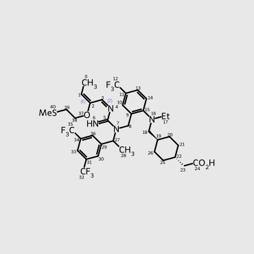 C/C=C(\C=N/C(=N)N(Cc1cc(C(F)(F)F)ccc1N(CC)C[C@H]1CC[C@H](CC(=O)O)CC1)C(C)c1cc(C(F)(F)F)cc(C(F)(F)F)c1)OCCSC